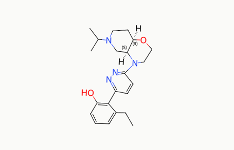 CCc1cccc(O)c1-c1ccc(N2CCO[C@@H]3CCN(C(C)C)C[C@@H]32)nn1